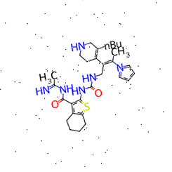 CCCCC1=C(/C(CNC(=O)Nc2sc3c(c2C(=O)NC(C)=N)CCCC3)=C(\C)n2cccc2)CCNC1